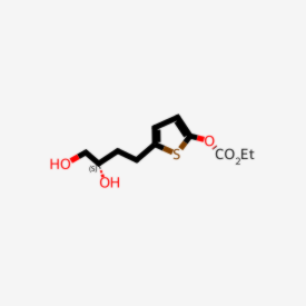 CCOC(=O)Oc1ccc(CC[C@H](O)CO)s1